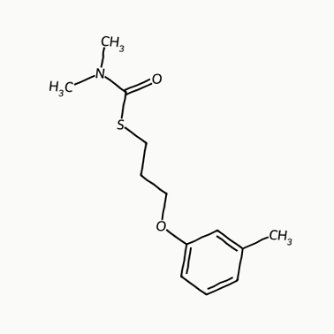 Cc1cccc(OCCCSC(=O)N(C)C)c1